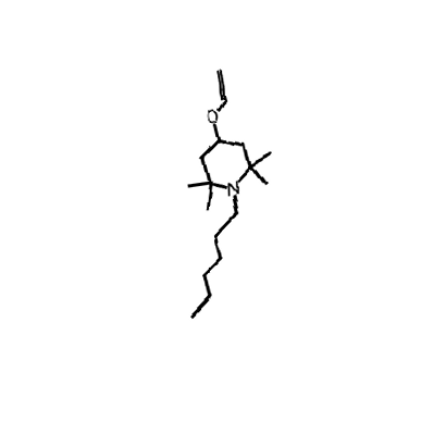 C=COC1CC(C)(C)N(CCCCCC)C(C)(C)C1